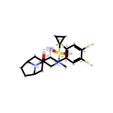 CN(CC(=O)N1C2CCC1CC([C@H](N)Cc1cc(F)c(F)cc1F)C2)S(=O)(=O)C1CC1